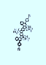 CC1(C)c2cc3c(cc2-c2cc4c(cc21)-c1c(cc(-c2ccc(C#N)cc2)c2ccccc12)C4(C)C)C(C)(C)c1cc(-c2ccc(C#N)cc2)c2ccccc2c1-3